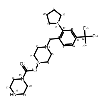 O=C(ON1CCN(Cc2ccc(C(F)(F)F)cc2N2CCCC2)CC1)N1CCNCC1